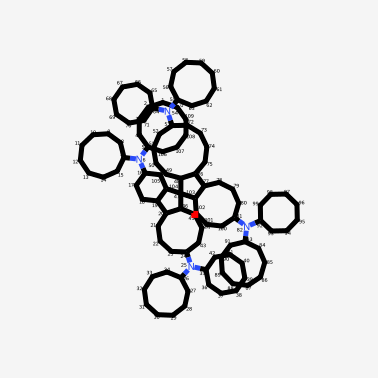 C1CCCCC(N(C2CCCCCCCC2)C2CCC3C4CCCC(N(C5CCCCCCCC5)C5CCCCCCC5)CCCC4C4(C5CCCCC(N(C6CCCCCCCC6)C6CCCCCCC6)CCCCC5C5CCCC(N(C6CCCCCCCC6)C6CCCCCCC6)CCCC54)C3C2)CCCC1